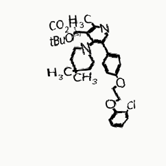 Cc1ncc(-c2ccc(OCCOc3ccccc3Cl)cc2)c(N2CCC(C)(C)CC2)c1[C@H](OC(C)(C)C)C(=O)O